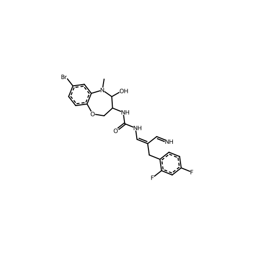 CN1c2cc(Br)ccc2OCC(NC(=O)N/C=C(\C=N)Cc2ccc(F)cc2F)C1O